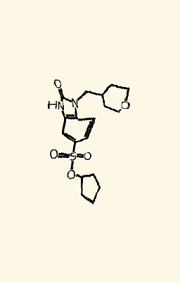 O=c1[nH]c2cc(S(=O)(=O)OC3CCCC3)ccc2n1CC1CCOCC1